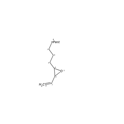 C=CC1OC1CCCCCCCC